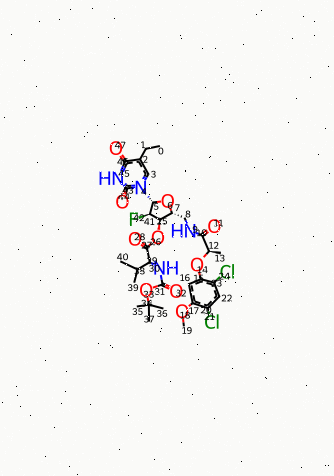 CCc1cn([C@@H]2O[C@H](CNC(=O)[C@@H](C)Oc3cc(OC)c(Cl)cc3Cl)[C@@H](OC(=O)[C@@H](NC(=O)OC(C)(C)C)C(C)C)[C@H]2F)c(=O)[nH]c1=O